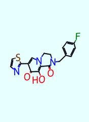 O=C1c2c(O)c(=O)c(-c3nccs3)cn2CCN1Cc1ccc(F)cc1